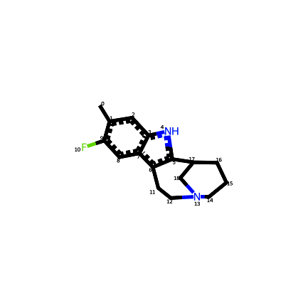 Cc1cc2[nH]c3c(c2cc1F)CCN1CCCC3C1